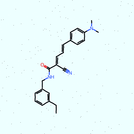 CCc1cccc(CNC(=O)/C(C#N)=C/C=C/c2ccc(N(C)C)cc2)c1